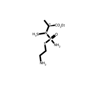 CCOC(=O)[C@H](C)N([SiH3])P(N)(=O)SCCN